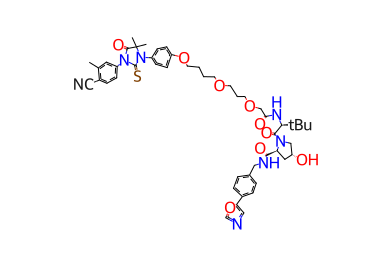 Cc1cc(N2C(=O)C(C)(C)N(c3ccc(OCCCCOCCCOCC(=O)N[C@H](C(=O)N4C[C@H](O)C[C@H]4C(=O)NCc4ccc(-c5cnco5)cc4)C(C)(C)C)cc3)C2=S)ccc1C#N